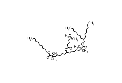 CCCCCCCCCOC(=O)C(C)(C)CCCCCC(CCCCCC(C)(C)C(=O)OCC(CCCCCCC)CCCCCCC)OC(=O)CCCN(C)C